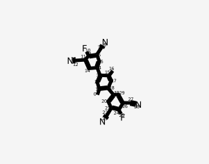 Cc1cc(-c2cc(C#N)c(F)c(C#N)c2)c(C)cc1-c1cc(C#N)c(F)c(C#N)c1